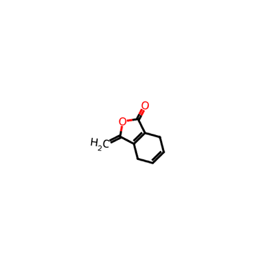 C=C1OC(=O)C2=C1CC=CC2